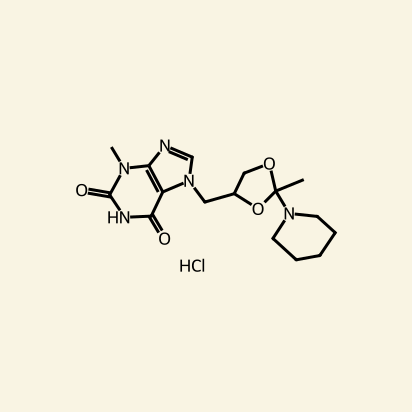 Cl.Cn1c(=O)[nH]c(=O)c2c1ncn2CC1COC(C)(N2CCCCC2)O1